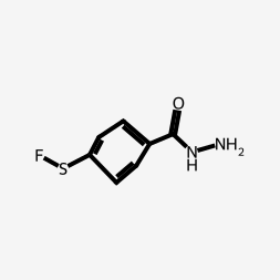 NNC(=O)c1ccc(SF)cc1